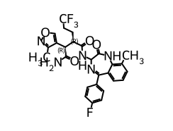 Cc1cccc2c1NC(=O)C(NC(=O)[C@H](CCC(F)(F)F)[C@@H](C(N)=O)c1conc1C)N=C2c1ccc(F)cc1